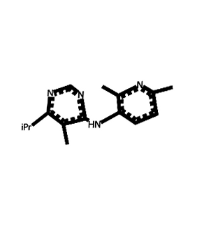 Cc1ccc(Nc2ncnc(C(C)C)c2C)c(C)n1